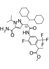 COC(=O)C(C)c1cc(F)c(NC(=O)[C@H](c2cc(C(N)=O)n(C(C)C)n2)C(C2CCCCC2)C2CCCCC2)cc1C(F)(F)F